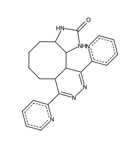 O=C1NC2CCCCC3C(c4ccccn4)=NN=C(c4ccccn4)C3C2N1